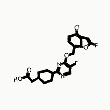 O=C(O)CC1CCC(c2ncc(F)c(OCc3ccc(Cl)c4cc(F)oc34)n2)CC1